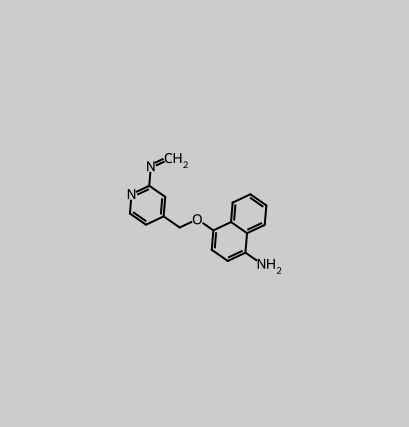 C=Nc1cc(COc2ccc(N)c3ccccc23)ccn1